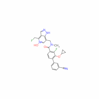 CN(Cc1c[n+](O)c(CF)c2cn[nH]c12)C(=O)c1ccc(-c2cccc(C#N)c2)c(OC2CC2)c1F